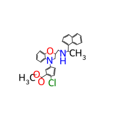 COC(=O)c1cc(N2CC(CN[C@H](C)c3cccc4ccccc34)Oc3ccccc32)ccc1Cl